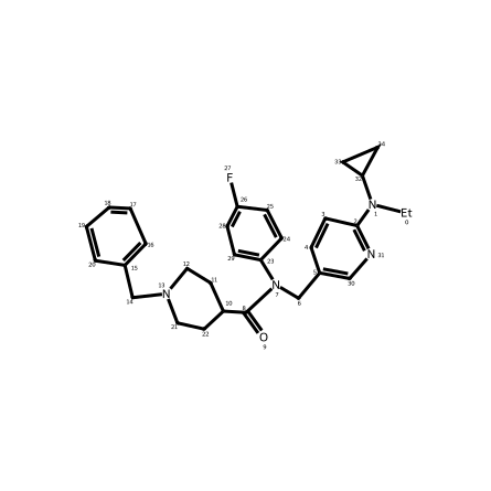 CCN(c1ccc(CN(C(=O)C2CCN(Cc3ccccc3)CC2)c2ccc(F)cc2)cn1)C1CC1